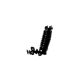 CC(C)C(F)(OC(=O)C=CC(=O)O)C(F)(F)C(F)(F)C(F)(F)C(F)(F)C(F)(F)C(F)(F)C(F)(F)C(F)(F)C(F)F